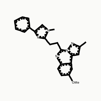 COc1ccc2nc(CCc3nc(-c4ccccc4)cn3C)n3nc(C)cc3c2c1